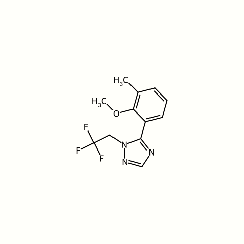 COc1c(C)cccc1-c1ncnn1CC(F)(F)F